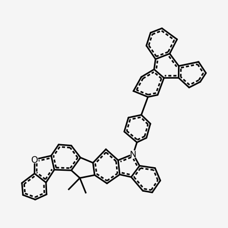 CC1(C)c2cc3c4ccccc4n(-c4ccc(-c5ccc6c7ccccc7c7ccccc7c6c5)cc4)c3cc2-c2ccc3oc4ccccc4c3c21